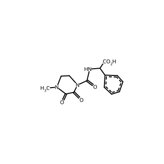 CN1CCN(C(=O)NC(C(=O)O)c2ccccc2)C(=O)C1=O